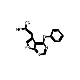 N#CC(C#N)=Cc1c[nH]c2ncnc(Oc3ccccc3)c12